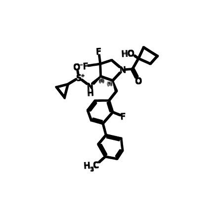 Cc1cccc(-c2cccc(C[C@H]3[C@@H](N[S+]([O-])C4CC4)C(F)(F)CN3C(=O)C3(O)CCC3)c2F)c1